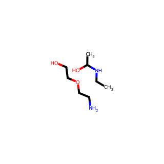 CCNC(C)O.NCCOCCO